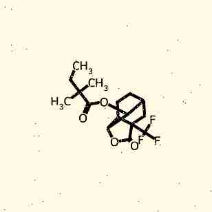 CCC(C)(C)C(=O)OC1C2CCC3C1OC(=O)C3(C(F)(F)F)C2